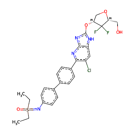 CCS(=O)(CC)=Nc1ccc(-c2ccc(-c3nc4nc(O[C@@H]5CO[C@H](CO)C5(F)F)[nH]c4cc3Cl)cc2)cc1